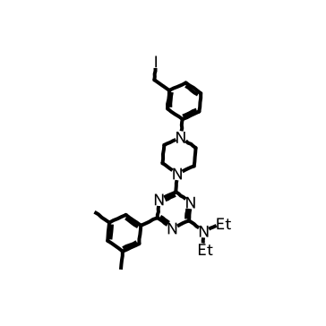 CCN(CC)c1nc(-c2cc(C)cc(C)c2)nc(N2CCN(c3cccc(CI)c3)CC2)n1